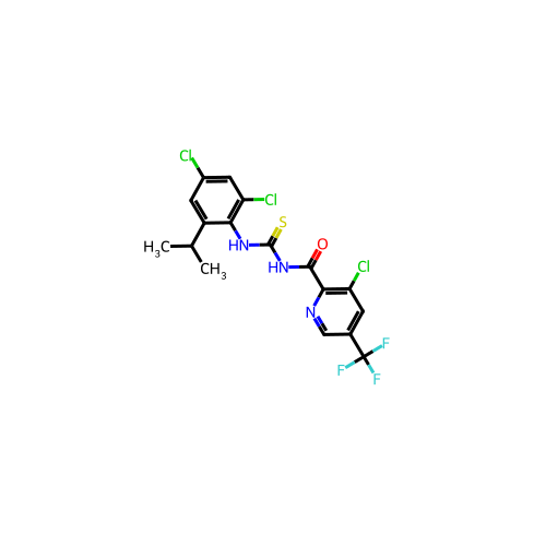 CC(C)c1cc(Cl)cc(Cl)c1NC(=S)NC(=O)c1ncc(C(F)(F)F)cc1Cl